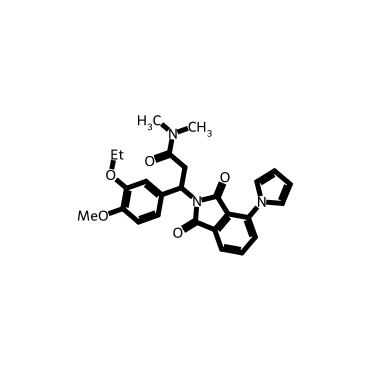 CCOc1cc(C(CC(=O)N(C)C)N2C(=O)c3cccc(-n4cccc4)c3C2=O)ccc1OC